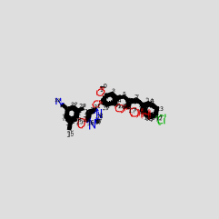 COc1cc(CC(=Cc2ccc(Cl)cc2)C(=O)O)ccc1Oc1cc(Oc2c(C)cc(C#N)cc2C)ncn1